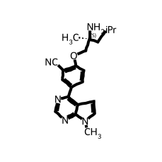 CC(C)C[C@](C)(N)COc1ccc(-c2ncnc3c2ccn3C)cc1C#N